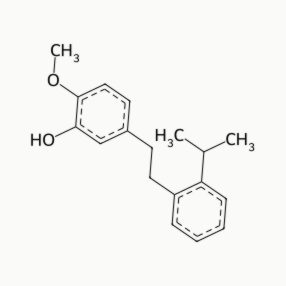 COc1ccc(CCc2ccccc2C(C)C)cc1O